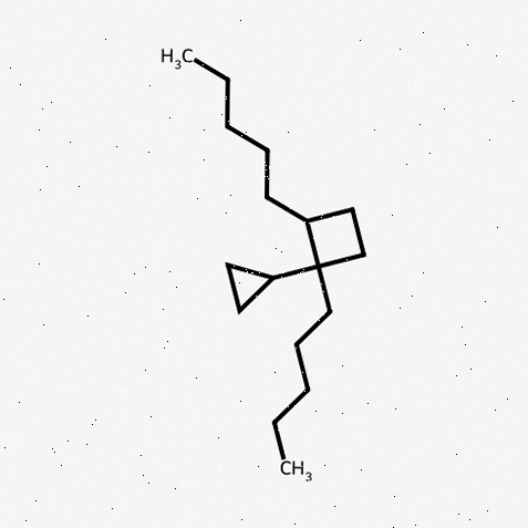 CCCCCC1CCC1(CCCCC)C1CC1